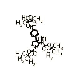 CC(C)(C)OC(=O)NC1CN(C(=O)OC(C)(C)C)CCC1(O)c1ccc(B2OC(C)(C)C(C)(C)O2)cc1